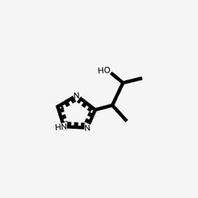 CC(O)C(C)c1nc[nH]n1